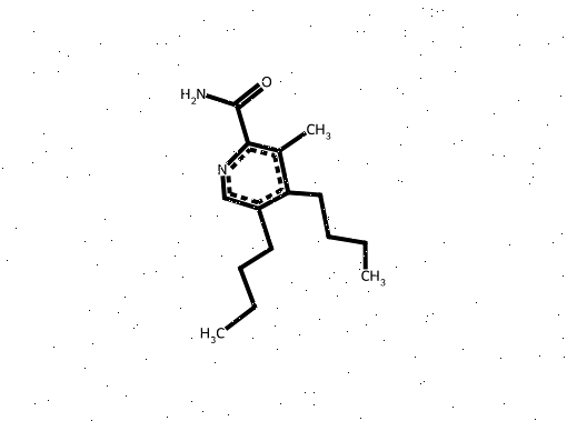 CCCCc1cnc(C(N)=O)c(C)c1CCCC